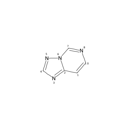 [c]1cc2ncnn2cn1